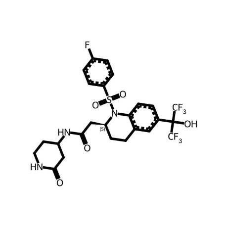 O=C1CC(NC(=O)C[C@@H]2CCc3cc(C(O)(C(F)(F)F)C(F)(F)F)ccc3N2S(=O)(=O)c2ccc(F)cc2)CCN1